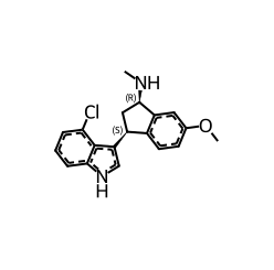 CN[C@@H]1C[C@H](c2c[nH]c3cccc(Cl)c23)c2ccc(OC)cc21